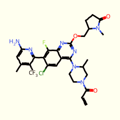 C=CC(=O)N1CCN(c2nc(OCC3CCC(=O)N3C)nc3c(F)c(-c4nc(N)cc(C)c4C(F)(F)F)c(Cl)cc23)C(C)C1